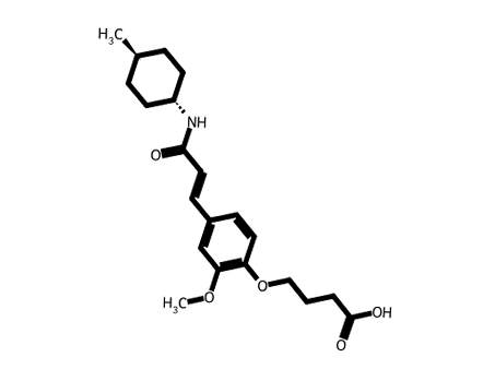 COc1cc(/C=C/C(=O)N[C@H]2CC[C@H](C)CC2)ccc1OCCCC(=O)O